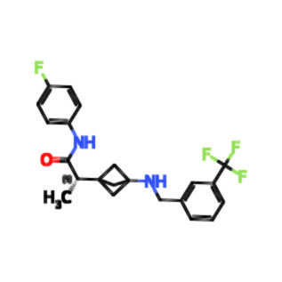 C[C@H](C(=O)Nc1ccc(F)cc1)C12CC(NCc3cccc(C(F)(F)F)c3)(C1)C2